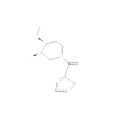 CC(C)(C)O[C@H]1CCN(C(=O)c2cnco2)C[C@H]1F